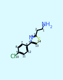 NCCc1nc(-c2ccc(Cl)cc2)cs1